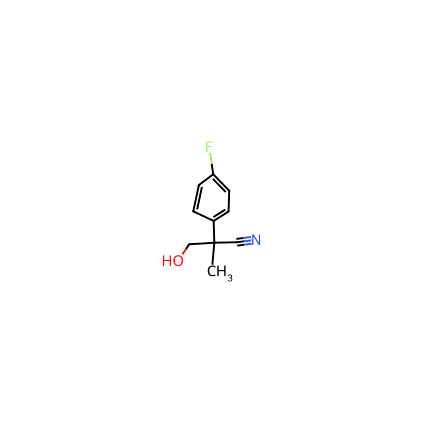 CC(C#N)(CO)c1ccc(F)cc1